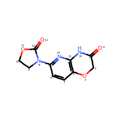 O=C1COc2ccc(N3CCOC3=O)nc2N1